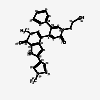 Cn1cc(-c2cc(=O)n(CCO)cc2-c2ccccc2)c2cc(-c3cnn(C(F)(F)F)c3)[nH]c2c1=O